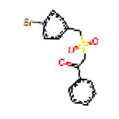 O=C(CS(=O)(=O)Cc1ccc(Br)cc1)c1ccccc1